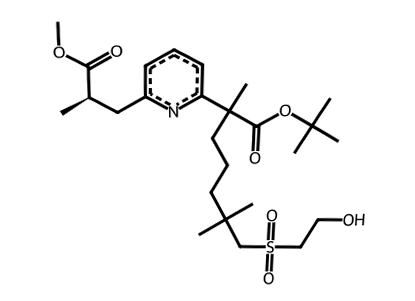 COC(=O)[C@H](C)Cc1cccc(C(C)(CCCC(C)(C)CS(=O)(=O)CCO)C(=O)OC(C)(C)C)n1